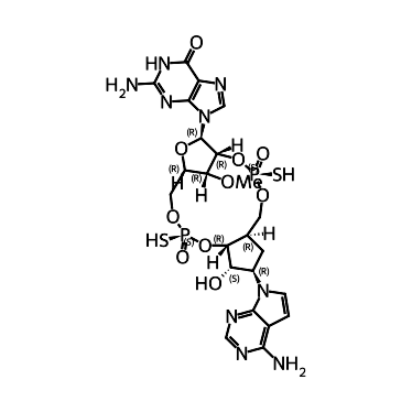 CO[C@H]1[C@H]2O[P@@](=O)(S)OC[C@H]3C[C@@H](n4ccc5c(N)ncnc54)[C@H](O)[C@@H]3O[P@@](=O)(S)OC[C@H]1O[C@H]2n1cnc2c(=O)[nH]c(N)nc21